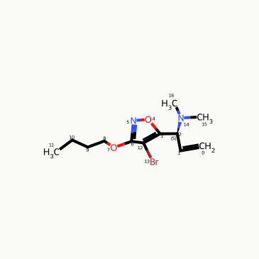 C=C[C@@H](c1onc(OCCCC)c1Br)N(C)C